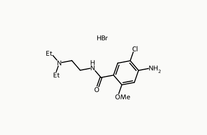 Br.CCN(CC)CCNC(=O)c1cc(Cl)c(N)cc1OC